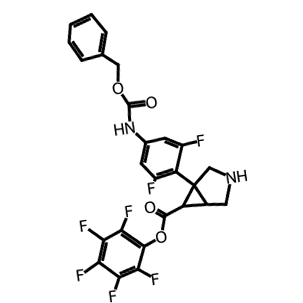 O=C(Nc1cc(F)c(C23CNCC2C3C(=O)Oc2c(F)c(F)c(F)c(F)c2F)c(F)c1)OCc1ccccc1